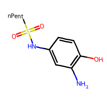 CCCCCS(=O)(=O)Nc1ccc(O)c(N)c1